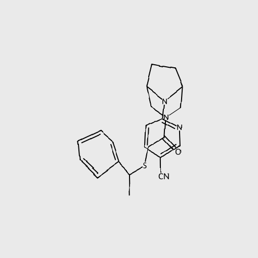 CC(SCC(=O)N1CC2CCC(C1)N2c1ccc(C#N)cn1)c1ccccc1